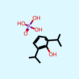 CC(C)c1cccc(C(C)C)c1O.O=P(O)(O)O